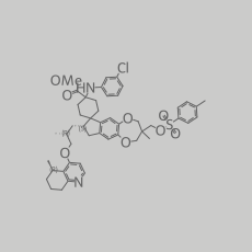 COC(=O)C1(Nc2cccc(Cl)c2)CCC2(CC1)c1cc3c(cc1C[C@@H]2C[C@@H](C)COc1ccnc2c1[C@H](C)CCC2)OCC(C)(COS(=O)(=O)c1ccc(C)cc1)CO3